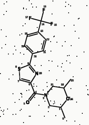 CC1CN(C(=O)c2csc(-c3ccc(C(F)(F)F)cc3)n2)CC(C)O1